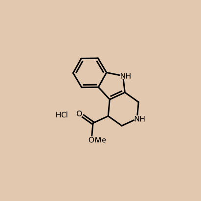 COC(=O)C1CNCc2[nH]c3ccccc3c21.Cl